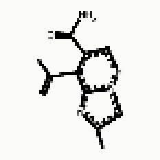 C=C(C)c1c(C(N)=O)cnn2cc(C)nc12